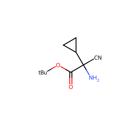 CC(C)(C)OC(=O)C(N)(C#N)C1CC1